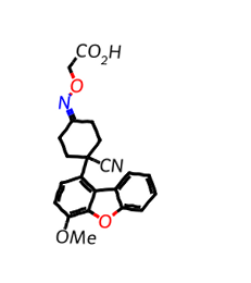 COc1ccc(C2(C#N)CCC(=NOCC(=O)O)CC2)c2c1oc1ccccc12